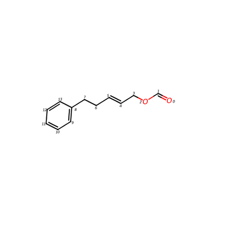 O=[C]OCC=CCCc1ccccc1